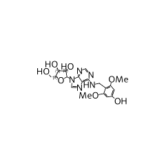 COc1cc(O)cc(OC)c1CNc1ncnc2c1ncn2C1O[C@H](CO)[C@@H](O)[C@H]1O